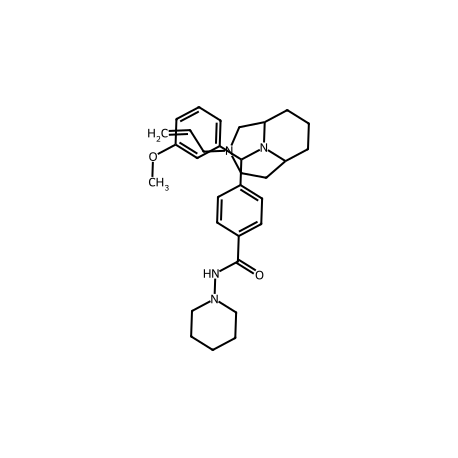 C=CCN1CCC2CCCC(C1)N2C(c1ccc(C(=O)NN2CCCCC2)cc1)c1cccc(OC)c1